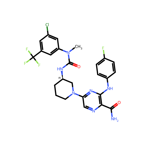 CN(C(=O)N[C@@H]1CCCN(c2cnc(C(N)=O)c(Nc3ccc(F)cc3)n2)C1)c1cc(Cl)cc(C(F)(F)F)c1